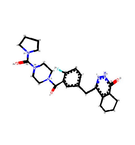 O=C(c1cc(Cc2n[nH]c(=O)c3c2CCCC3)ccc1F)N1CCN(C(=O)N2CCCC2)CC1